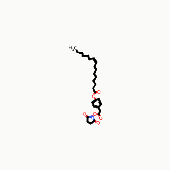 CCCCCC/C=C\CCCCCCCC(=O)Oc1ccc(CC(=O)ON2C(=O)CCC2=O)cc1